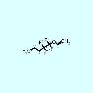 C=COC(F)(F)C(F)(F)CCC(F)(F)F